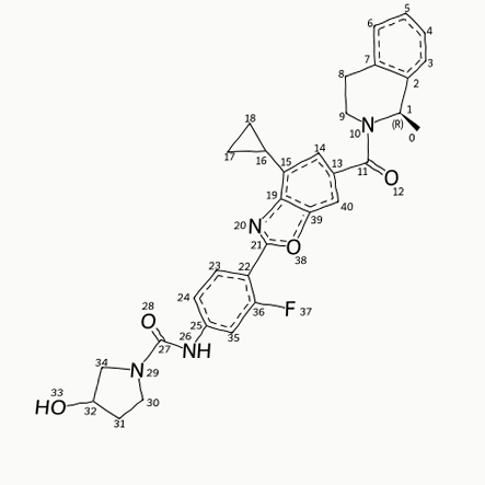 C[C@@H]1c2ccccc2CCN1C(=O)c1cc(C2CC2)c2nc(-c3ccc(NC(=O)N4CCC(O)C4)cc3F)oc2c1